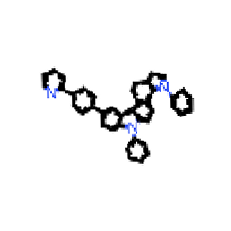 c1ccc(-n2ccc3ccc4c(ccc5c4c4cc(-c6ccc(-c7ccccn7)cc6)ccc4n5-c4ccccc4)c32)cc1